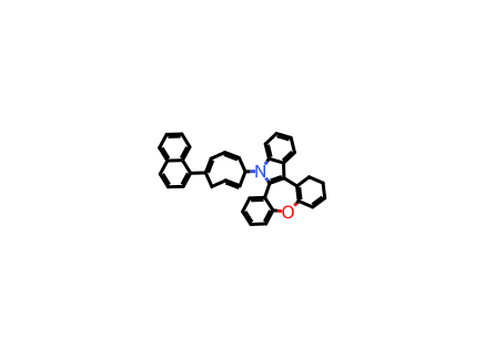 C1=CC2=C(CC1)c1c(n(C3/C=C\C=C(\c4cccc5ccccc45)C/C=C/3)c3ccccc13)-c1ccccc1O2